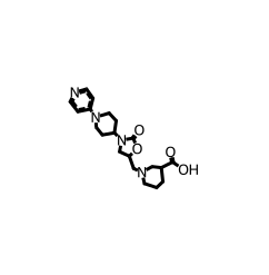 O=C(O)C1CCCN(CC2CN(C3CCN(c4ccncc4)CC3)C(=O)O2)C1